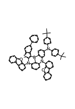 CC(C)(C)c1ccc(N(c2ccc(C(C)(C)C)cc2)c2ccc3c(c2)N(c2cccc4c2oc2ccccc24)c2cccc4c2B3c2c(sc3ccc(-c5ccccc5)cc23)N4c2cccc3c2oc2ccccc23)cc1